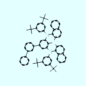 CC(C)(C)c1cc(N2c3cc(-c4cccc(-c5ccccc5)c4)cc4c3B(c3ccc5ccccc5c32)c2ccc3ccccc3c2N4c2cc(C(C)(C)C)cc(C(C)(C)C)c2)cc(C(C)(C)C)c1